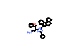 N=C/C=C(/c1nc(-c2ccccc2)nc(-c2cc3ccc4ccccc4c3c3ccccc23)n1)c1coc2ccccc12